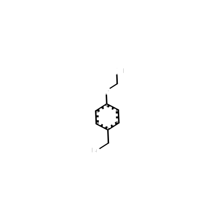 [CH2]COc1ccc(CBr)cc1